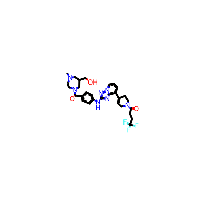 CN1CCN(C(=O)c2ccc(Nc3nc4c(C5=CCN(C(=O)CCC(F)(F)F)CC5)cccn4n3)cc2)CC(CO)C1